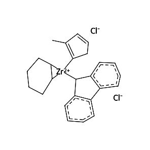 CC1=[C]([Zr+2]2([CH]3c4ccccc4-c4ccccc43)[CH]3CCCC[CH]32)CC=C1.[Cl-].[Cl-]